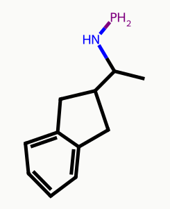 CC(NP)C1Cc2ccccc2C1